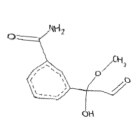 COC(O)(C=O)c1cccc(C(N)=O)c1